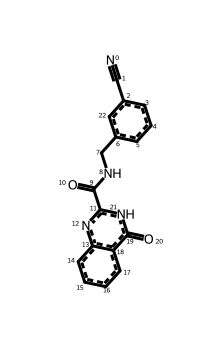 N#Cc1cccc(CNC(=O)c2nc3ccccc3c(=O)[nH]2)c1